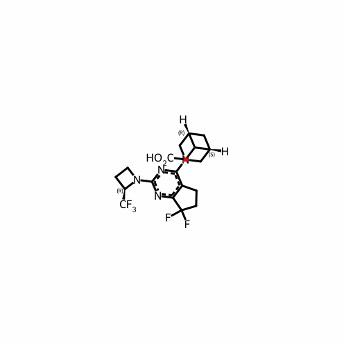 O=C(O)CC1[C@@H]2C[C@H]1CN(c1nc(N3CC[C@@H]3C(F)(F)F)nc3c1CCC3(F)F)C2